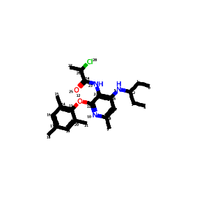 CCC(CC)Nc1cc(C)nc(Oc2c(C)cc(C)cc2C)c1NC(=O)C(C)Cl